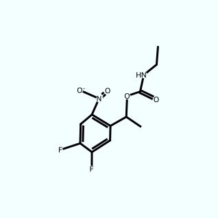 CCNC(=O)OC(C)c1cc(F)c(F)cc1[N+](=O)[O-]